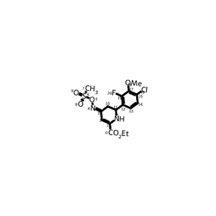 CCOC(=O)C1=CC(=NOS(C)(=O)=O)CC(c2ccc(Cl)c(OC)c2F)N1